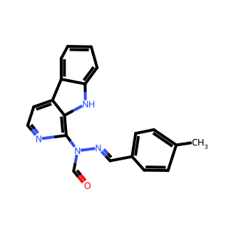 Cc1ccc(C=NN(C=O)c2nccc3c2[nH]c2ccccc23)cc1